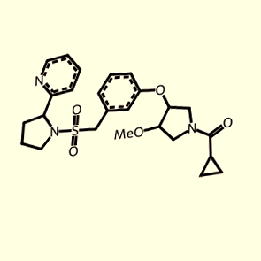 COC1CN(C(=O)C2CC2)CC1Oc1cccc(CS(=O)(=O)N2CCCC2c2ccccn2)c1